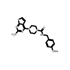 COc1ccc(CNC(=O)N2CCN(c3nc(N)nc4sccc34)CC2)cc1